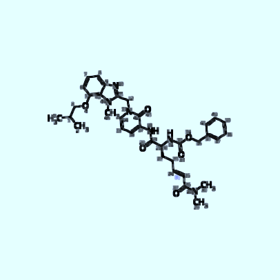 CC(C)COc1cccc2nc(Cn3cccc(NC(=O)[C@H](CC/C=C/C(=O)N(C)C)NC(=O)OCc4ccccc4)c3=O)n(C)c12